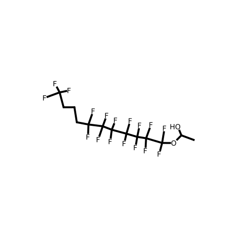 CC(O)OC(F)(F)C(F)(F)C(F)(F)C(F)(F)C(F)(F)C(F)(F)C(F)(F)CCCC(F)(F)F